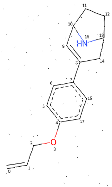 C=CCOc1ccc(C2=CC3CCC(C2)N3)cc1